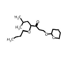 CCCCOC(CC(C)C)C(=O)CCOC1CCCCO1